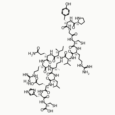 CC[C@H](C)[C@H](NC(=O)[C@H](CCCNC(=N)N)NC(=O)[C@H](CCC(N)=O)NC(=O)[C@@H](NC(=O)[C@@H](NC(=O)[C@H](CCCNC(=N)N)NC(=O)[C@H](CS)NC(=O)CNC(=O)[C@H](Cc1ccc(O)cc1)NC(=O)[C@@H]1CCCN1)C(C)C)[C@@H](C)CC)C(=O)N[C@@H](CC(C)C)C(=O)N[C@@H](CCC(=O)O)C(=O)N[C@@H](Cc1c[nH]cn1)C(=O)N[C@@H](CS)C(=O)O